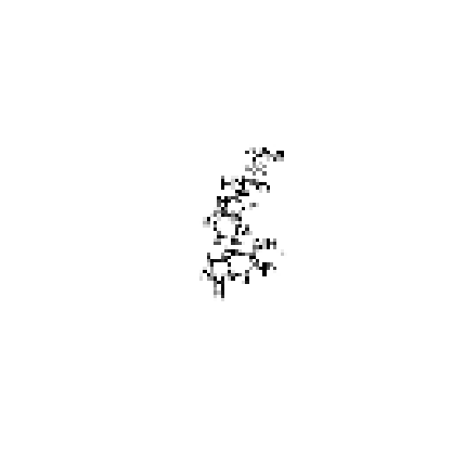 Nc1c(F)cc2[nH]ncc2c1-c1ccc2nc(NC(=O)[C@@H]3C[C@@H]3F)cn2n1